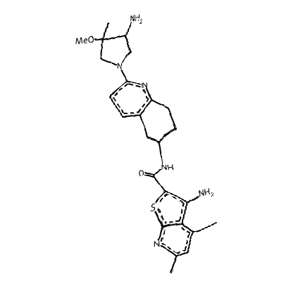 COC1(C)CN(c2ccc3c(n2)CCC(NC(=O)c2sc4nc(C)cc(C)c4c2N)C3)CC1N